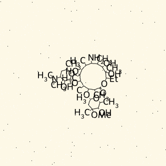 CCC1OC(=O)C(C)C(OC2CC(C)(OC)C(O)C(C)O2)C(C)C(OC2OC(C)CC(N(C)C)C2O)C(C)(O)CC(C)C(N)C(C)C(O)C1(C)O